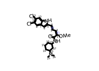 CO/C(=C/C=C/c1cc2cc(Cl)c(Cl)cc2[nH]1)C(=O)NC1CCCC(N(C)C)C1